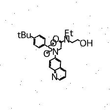 CCN(CCO)C(=O)CN(c1ccc2ncccc2c1)S(=O)(=O)c1ccc(C(C)(C)C)cc1